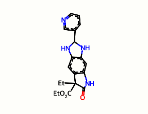 CCOC(=O)C1(CC)C(=O)Nc2cc3c(cc21)NC(c1cccnc1)N3